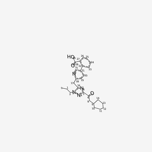 CCCn1nc(C(=O)CC2CCCCC2)nc1Cc1ccc(-c2ccccc2C(=O)O)cn1